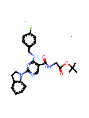 CC(C)(C)OC(=O)CNC(=O)c1cnc(N2CCc3ccccc32)nc1NCc1ccc(F)cc1